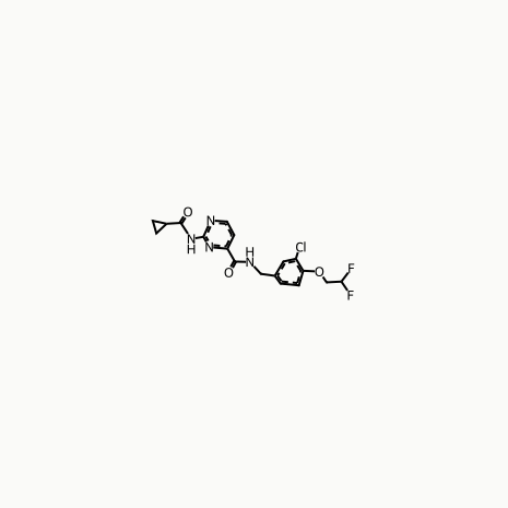 O=C(NCc1ccc(OCC(F)F)c(Cl)c1)c1ccnc(NC(=O)C2CC2)n1